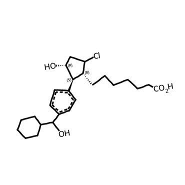 O=C(O)CCCCCC[C@H]1C(Cl)C[C@@H](O)[C@@H]1c1ccc(C(O)C2CCCCC2)cc1